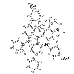 Cc1cc(C(C)(C)C)ccc1N1c2cc3c(cc2B2c4c1cc(-c1ccccc1)cc4N(c1ccccc1C)c1ccc4c(c12)C(C)(C)c1ccc(C(C)(C)C)cc1-4)C(C)(C)CCC3(C)C